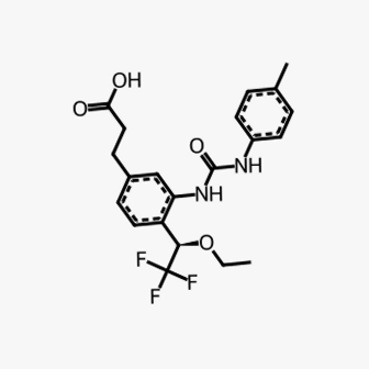 CCO[C@H](c1ccc(CCC(=O)O)cc1NC(=O)Nc1ccc(C)cc1)C(F)(F)F